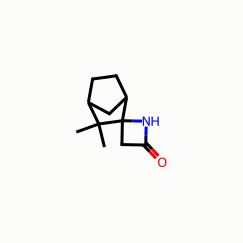 CC1(C)C2CCC(C2)C12CC(=O)N2